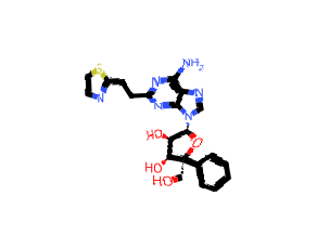 Nc1nc(CCc2nccs2)nc2c1ncn2[C@@H]1O[C@@](CO)(c2ccccc2)[C@@H](O)[C@H]1O